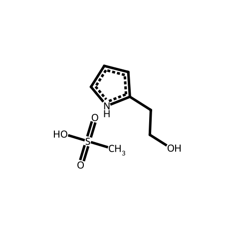 CS(=O)(=O)O.OCCc1ccc[nH]1